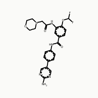 Nc1ncc(-c2ccc(NC(=O)c3ccc(OC(F)F)c(NC(=O)CN4CCOCC4)c3)cc2)cn1